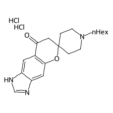 CCCCCCN1CCC2(CC1)CC(=O)c1cc3[nH]cnc3cc1O2.Cl.Cl